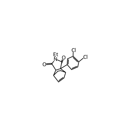 CCN1C(=O)C2C3C=CC(CC3)C2(c2ccc(Cl)c(Cl)c2)C1=O